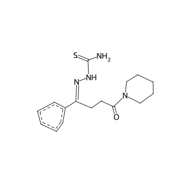 NC(=S)NN=C(CCC(=O)N1CCCCC1)c1ccccc1